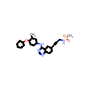 Cc1cc(Nc2ncnc3ccc(C#CCNS(C)(=O)=O)cc23)ccc1Oc1ccccc1